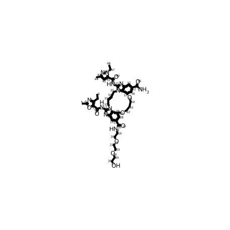 CCc1nc(C)oc1C(=O)Nc1nc2cc(C(=O)NCCOCCOCCO)cc3c2n1C/C=C/Cn1c(NC(=O)c2cc(C)nn2CC)nc2cc(C(N)=O)cc(c21)OCCCO3